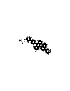 Cc1cncc(-c2ccc(-c3c4ccccc4c(-c4ccc(-c5cccnc5)c5ccccc45)c4ccccc34)cc2)c1